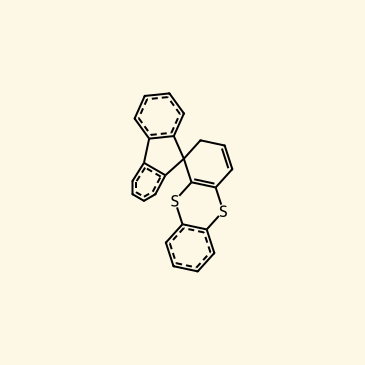 C1=CC2=C(Sc3ccccc3S2)C2(C1)c1ccccc1-c1ccccc12